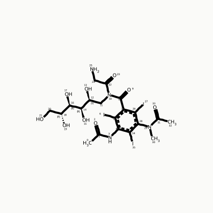 CC(=O)Nc1c(I)c(C(=O)N(C[C@H](O)[C@@H](O)[C@H](O)[C@H](O)CO)C(=O)CN)c(I)c(N(C)C(C)=O)c1I